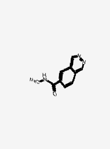 CONC(=O)c1ccc2cnncc2c1